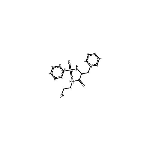 N#CCCNC(=O)C(Cc1ccccc1)NS(=O)(=O)c1ccccc1